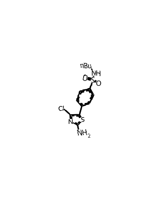 CCCCNS(=O)(=O)c1ccc(-c2sc(N)nc2Cl)cc1